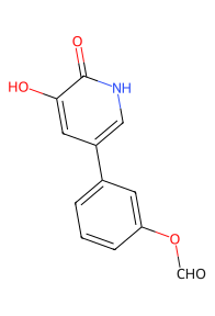 O=COc1cccc(-c2c[nH]c(=O)c(O)c2)c1